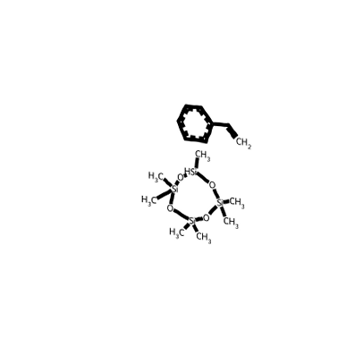 C=Cc1ccccc1.C[SiH]1O[Si](C)(C)O[Si](C)(C)O[Si](C)(C)O1